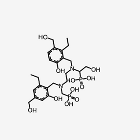 CCc1cc(CO)cc(O)c1CN(CCN(Cc1c(O)ccc(CO)c1CC)C(CO)P(=O)(O)O)CP(=O)(O)O